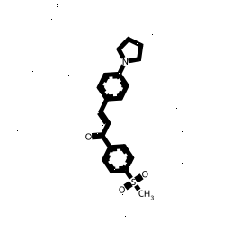 CS(=O)(=O)c1ccc(C(=O)/C=C/c2ccc(N3CCCC3)cc2)cc1